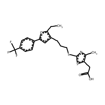 CCc1oc(-c2ccc(C(F)(F)F)cc2)cc1CCCSc1nc(C)c(CC(=O)O)s1